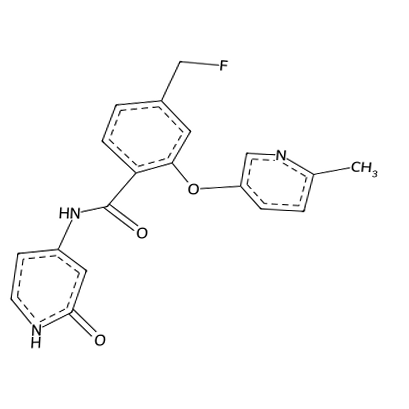 Cc1ccc(Oc2cc(CF)ccc2C(=O)Nc2cc[nH]c(=O)c2)cn1